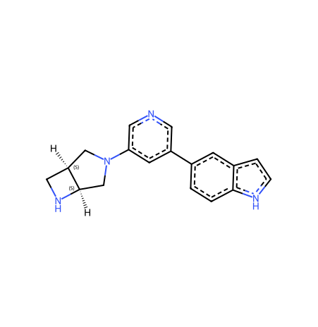 c1cc2cc(-c3cncc(N4C[C@@H]5CN[C@@H]5C4)c3)ccc2[nH]1